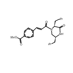 COC(=O)c1ccc(C=CC(=O)N2C[C@H](CC(C)C)NC(=O)[C@@H]2CC(C)C)cc1